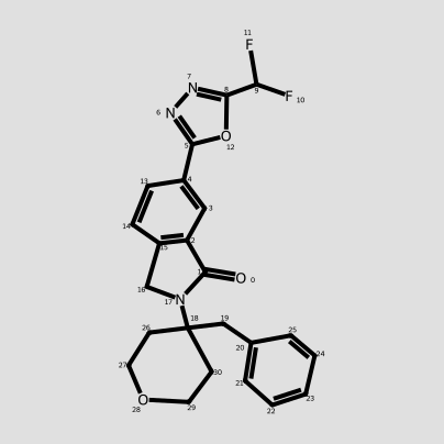 O=C1c2cc(-c3nnc(C(F)F)o3)ccc2CN1C1(Cc2ccccc2)CCOCC1